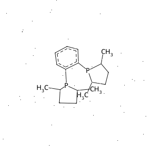 CC1CCC(C)P1c1ccccc1P1C(C)CCC1C